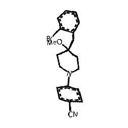 COC1(Cc2ccccc2Br)CCN(c2ccc(C#N)cc2)CC1